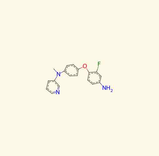 CN(c1ccc(Oc2ccc(N)cc2F)cc1)c1cccnc1